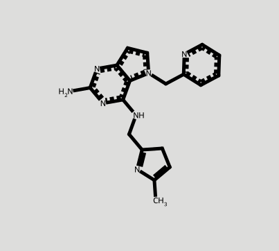 CC1=CCC(CNc2nc(N)nc3ccn(Cc4ccccn4)c23)=N1